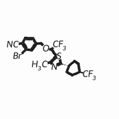 Cc1nc([C@H]2CC[C@H](C(F)(F)F)CC2)sc1C(OCc1ccc(C#N)c(Br)c1)C(F)(F)F